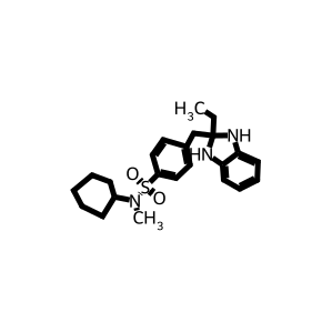 CCC1(Cc2ccc(S(=O)(=O)N(C)C3CCCCC3)cc2)Nc2ccccc2N1